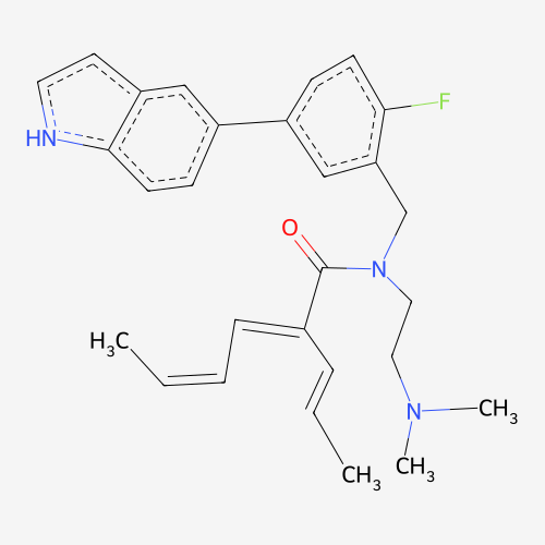 C\C=C/C=C(\C=C\C)C(=O)N(CCN(C)C)Cc1cc(-c2ccc3[nH]ccc3c2)ccc1F